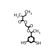 CCC(C)C(=O)OCC(=O)OC(C)c1cc(S)cc(S)c1